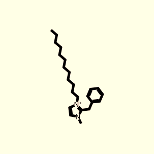 CCCCCCCCCCCC[n+]1ccn(C)c1Cc1ccccc1